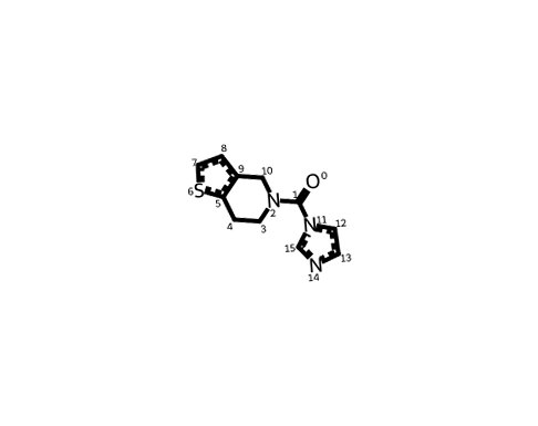 O=C(N1CCc2sccc2C1)n1ccnc1